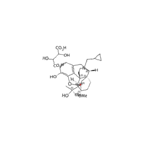 CO[C@@]12CC[C@@]3(C[C@@H]1[C@](C)(O)C(C)(C)C)[C@H]1Cc4ccc(O)c5c4[C@@]3(CCN1CC1CC1)[C@H]2O5.O=C(O)C(O)C(O)C(=O)O